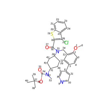 COc1ccc(-c2ccncc2)cc1CN(C(=O)c1sc2ccccc2c1Cl)C1CCC(N(C)C(=O)OC(C)(C)C)CC1